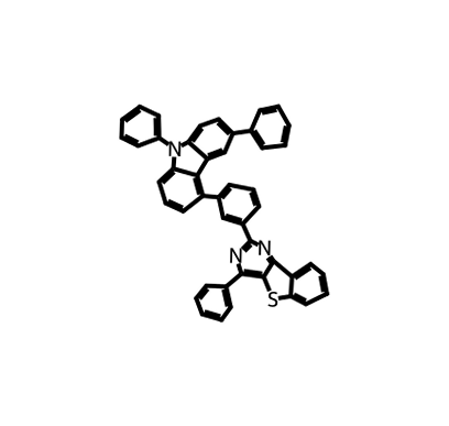 c1ccc(-c2ccc3c(c2)c2c(-c4cccc(-c5nc(-c6ccccc6)c6sc7ccccc7c6n5)c4)cccc2n3-c2ccccc2)cc1